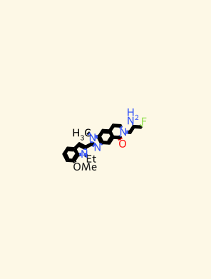 CCn1c(-c2nc3cc4c(cc3n2C)CCN(C[C@H](N)CF)C4=O)cc2cccc(OC)c21